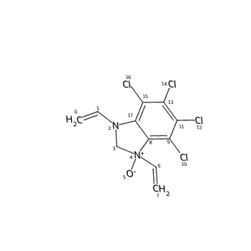 C=CN1C[N+]([O-])(C=C)c2c(Cl)c(Cl)c(Cl)c(Cl)c21